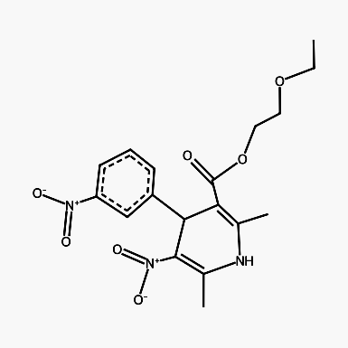 CCOCCOC(=O)C1=C(C)NC(C)=C([N+](=O)[O-])C1c1cccc([N+](=O)[O-])c1